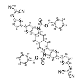 N#CC(C#N)=Nc1ccc(-c2cc3c(s2)c2c(n3C(=O)OCc3ccccc3)=CC3C=c4c(n(C(=O)OCc5ccccc5)c5cc(-c6ccc(N=C(C#N)C#N)s6)sc45)=CC3C=2)s1